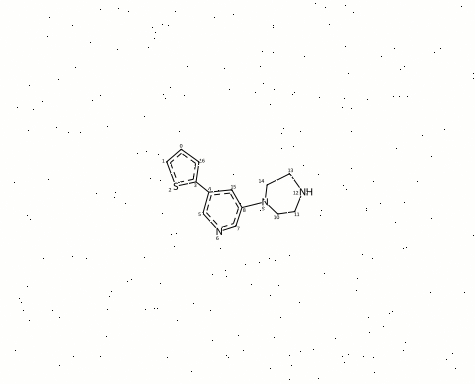 c1csc(-c2cncc(N3CCNCC3)c2)c1